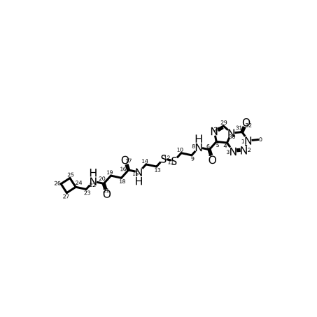 CN1N=NC2C(C(=O)NCCSSCCNC(=O)CCC(=O)NCC3CCC3)N=CN2C1=O